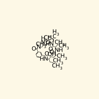 Cc1nc(CN(C)C(=O)c2cccc(C(=O)NC(CC(C)C)C(O)CC(C)C(=O)NC(C(=O)NCC(C)C)C(C)C)c2)co1